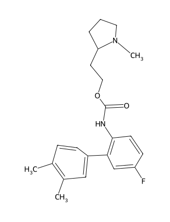 Cc1ccc(-c2cc(F)ccc2NC(=O)OCCC2CCCN2C)cc1C